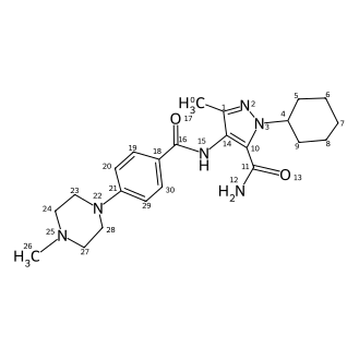 Cc1nn(C2CCCCC2)c(C(N)=O)c1NC(=O)c1ccc(N2CCN(C)CC2)cc1